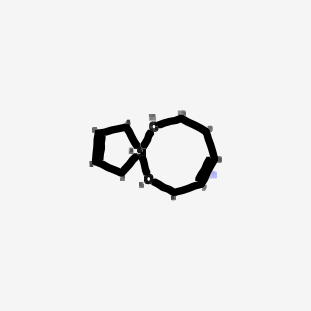 C1=CC[Si]2(C1)OC/C=C\CCO2